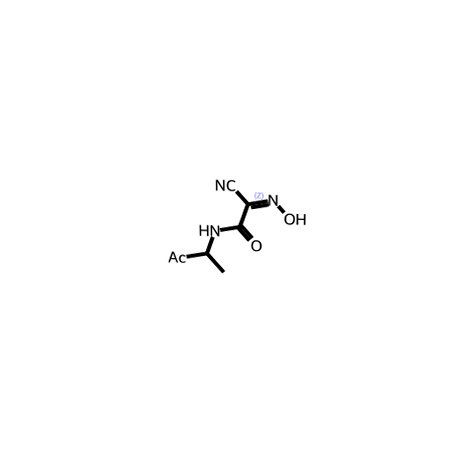 CC(=O)C(C)NC(=O)/C(C#N)=N\O